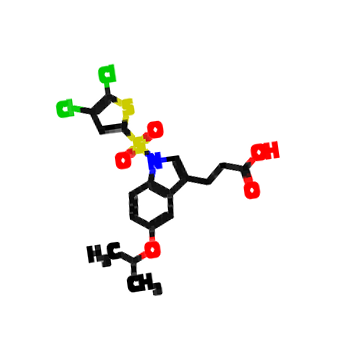 CC(C)Oc1ccc2c(c1)c(CCC(=O)O)cn2S(=O)(=O)c1cc(Cl)c(Cl)s1